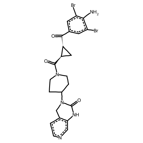 Nc1c(Br)cc(C(=O)[C@@H]2C[C@H]2C(=O)N2CCC(N3Cc4ccncc4NC3=O)CC2)cc1Br